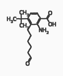 CC(C)(C)c1ccc(C(=O)O)c(N)c1CCCCCC=O